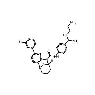 NCCNC(N)c1ccc(NC(=O)N2c3nc(-c4cccc(C(F)(F)F)c4)ccc3N3CCC[C@@H]2C3)cc1